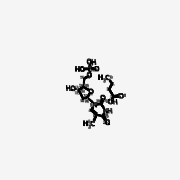 CCCC(=O)O.Cc1cn([C@H]2C[C@H](O)[C@@H](COP(=O)(O)O)O2)c(=O)[nH]c1=O